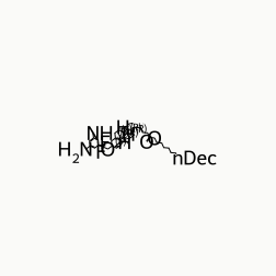 CCCCCCCCCCCCCCCCOC(=O)CC[C@@H](C)[C@H]1CC[C@H]2[C@@H]3CCC4CC(OC(F)(F)c5cc(N)cc(N)c5)CC[C@]4(C)[C@H]3CC[C@]12C